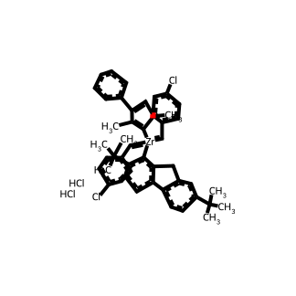 CC1=[C]([Zr](=[CH]c2ccc(Cl)cc2)(=[CH]c2ccc(Cl)cc2)[c]2c(C(C)(C)C)ccc3c2Cc2cc(C(C)(C)C)ccc2-3)C(C)C=C1c1ccccc1.Cl.Cl